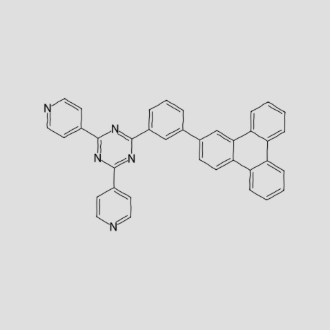 c1cc(-c2ccc3c4ccccc4c4ccccc4c3c2)cc(-c2nc(-c3ccncc3)nc(-c3ccncc3)n2)c1